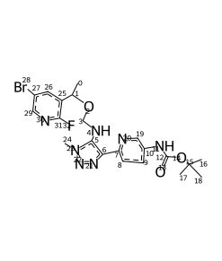 CC(OCNc1c(-c2ccc(NC(=O)OC(C)(C)C)cn2)nnn1C)c1cc(Br)cnc1F